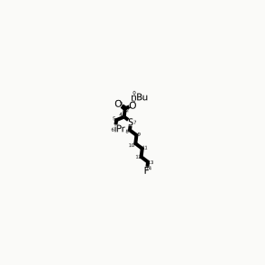 CCCCOC(=O)C(CC(C)C)SCCCCCCF